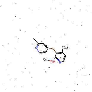 Cc1cc(Sc2cnccc2C(=O)O)ccn1.O=NO